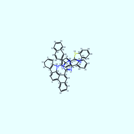 C1=Cc2c(c3ccc4c5ccccc5cc(-c5nc(-c6ccccc6)nc(-c6ccc7ccccc7c6)n5)c4c3n2-c2ccc(-c3nc4ccccc4s3)cc2)CC1